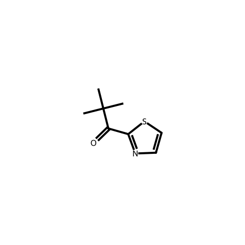 CC(C)(C)C(=O)c1nccs1